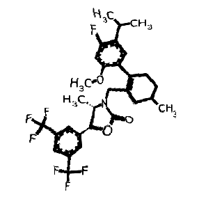 COc1cc(F)c(C(C)C)cc1C1=C(CN2C(=O)O[C@@H](c3cc(C(F)(F)F)cc(C(F)(F)F)c3)[C@@H]2C)CC(C)CC1